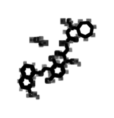 Cc1ccc2cccc(OCc3c(Cl)ccc(N(C)C(=O)CNC(=O)CN(C)C4CCCCCC4)c3Cl)c2n1.Cl.Cl